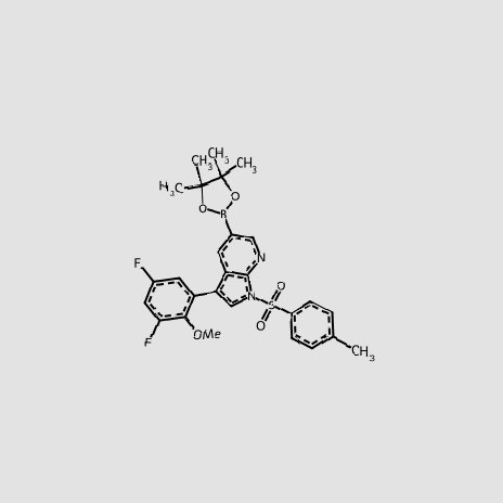 COc1c(F)cc(F)cc1-c1cn(S(=O)(=O)c2ccc(C)cc2)c2ncc(B3OC(C)(C)C(C)(C)O3)cc12